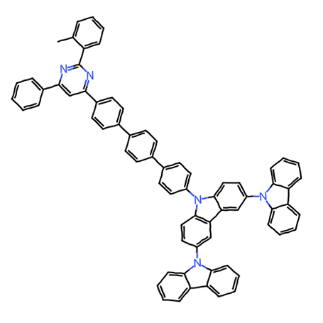 Cc1ccccc1-c1nc(-c2ccccc2)cc(-c2ccc(-c3ccc(-c4ccc(-n5c6ccc(-n7c8ccccc8c8ccccc87)cc6c6cc(-n7c8ccccc8c8ccccc87)ccc65)cc4)cc3)cc2)n1